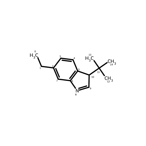 CCc1ccc2c(c1)N=CC2C(C)(C)C